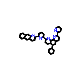 c1ccc(-c2cc3ccc(-c4ccccn4)nc3c3nc(-c4cccc(-c5ccc6cc7ccccc7cc6n5)n4)ccc23)cc1